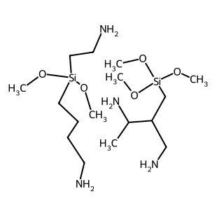 CO[Si](CC(CN)C(C)N)(OC)OC.CO[Si](CCN)(CCCCN)OC